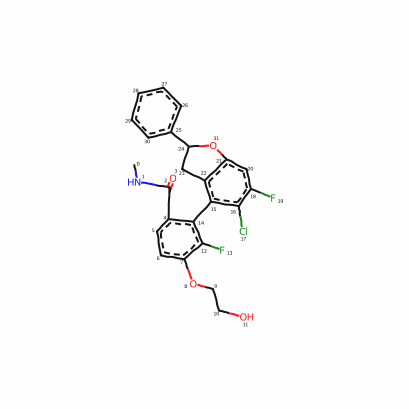 CNC(=O)c1ccc(OCCO)c(F)c1-c1c(Cl)c(F)cc2c1CC(c1ccccc1)O2